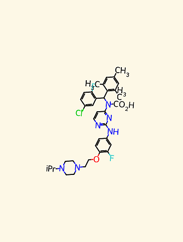 Cc1cc(C)c(C(c2cc(Cl)ccc2F)N(C(=O)O)c2ccnc(Nc3ccc(OCCN4CCN(C(C)C)CC4)c(F)c3)n2)c(C)c1